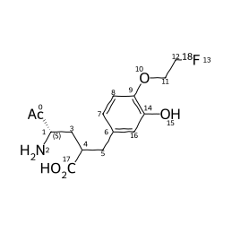 CC(=O)[C@@H](N)CC(Cc1ccc(OCC[18F])c(O)c1)C(=O)O